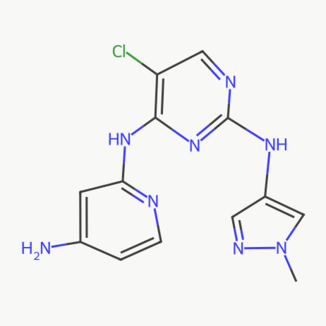 Cn1cc(Nc2ncc(Cl)c(Nc3cc(N)ccn3)n2)cn1